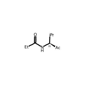 CCC(=O)N[C@H](C(C)=O)C(C)C